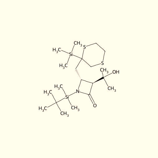 CC(C)(O)[C@H]1C(=O)N([Si](C)(C)C(C)(C)C)[C@@H]1CC1([Si](C)(C)C)CSCCS1